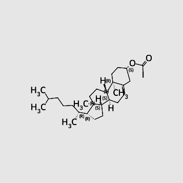 CC(C)CCC[C@@H](C)[C@H]1CC[C@H]2[C@@H]3CC=C4C[C@@H](OC(=O)I)CC[C@]4(C)[C@H]3CC[C@]12C